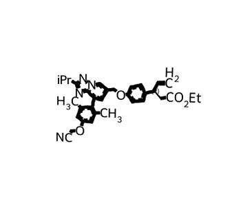 C=C[C@@H](CC(=O)OCC)c1ccc(OCc2cc(-c3c(C)cc(OCC#N)cc3C)c3nc(C(C)C)nn3c2)cc1